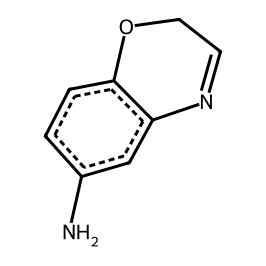 Nc1ccc2c(c1)N=CCO2